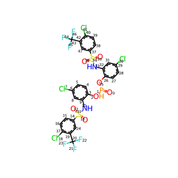 O=[PH](Oc1ccc(Cl)cc1NS(=O)(=O)c1ccc(Cl)c(C(F)(F)F)c1)Oc1ccc(Cl)cc1NS(=O)(=O)c1ccc(Cl)c(C(F)(F)F)c1